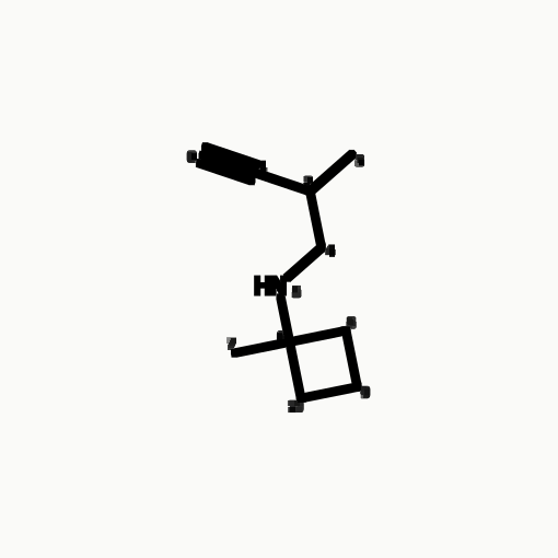 C#CC(C)CNC1(C)CCC1